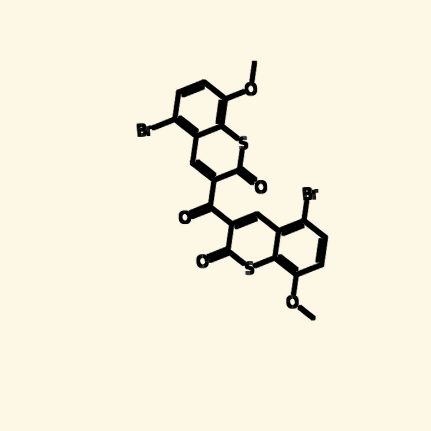 COc1ccc(Br)c2cc(C(=O)c3cc4c(Br)ccc(OC)c4sc3=O)c(=O)sc12